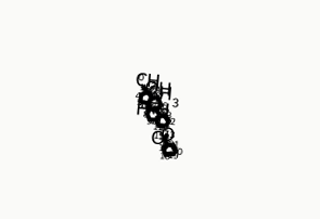 C#C[C@]1(O)CC[C@H]2[C@@H]3CCc4cc(OC(=O)c5ccccc5)ccc4[C@H]3CC[C@@]21C